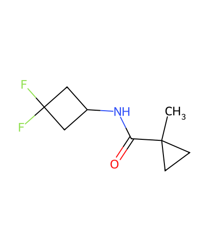 CC1(C(=O)NC2CC(F)(F)C2)CC1